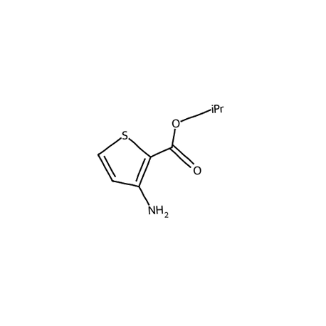 CC(C)OC(=O)c1sccc1N